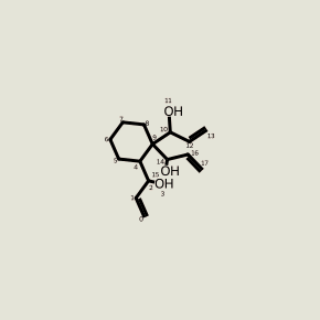 C=CC(O)C1CCCCC1(C(O)C=C)C(O)C=C